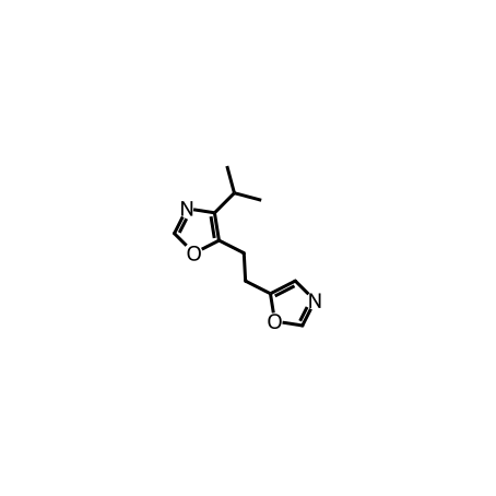 CC(C)c1ncoc1CCc1cnco1